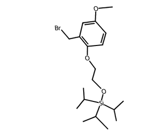 COc1ccc(OCCO[Si](C(C)C)(C(C)C)C(C)C)c(CBr)c1